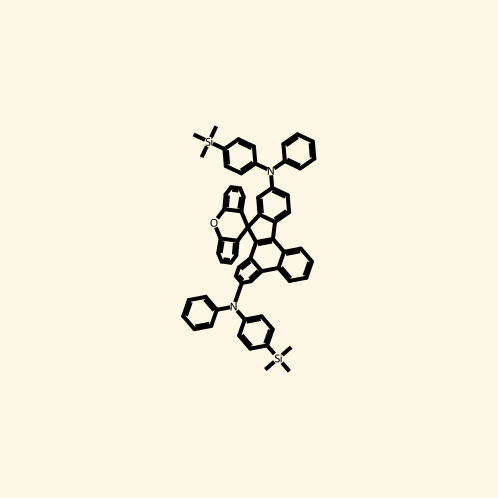 C[Si](C)(C)c1ccc(N(c2ccccc2)c2ccc3c(c2)C2(c4ccccc4Oc4ccccc42)c2c-3c3ccccc3c3cc(N(c4ccccc4)c4ccc([Si](C)(C)C)cc4)ccc23)cc1